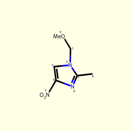 COCn1cc([N+](=O)[O-])nc1C